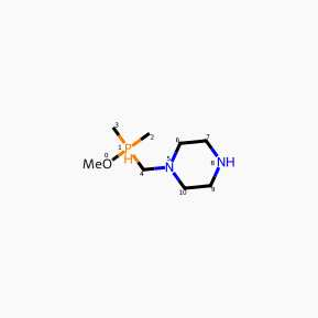 CO[PH](C)(C)CN1CCNCC1